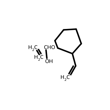 C=C.C=CC1CCCCC1.O=CO